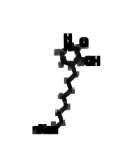 CCCCCCCCCCCCCCCCc1cc[nH]c(=O)c1O